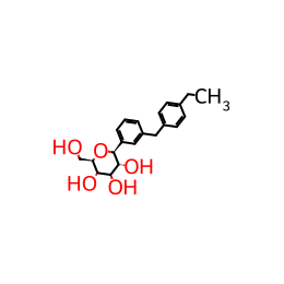 CCc1ccc(Cc2cccc([C@@H]3O[C@H](CO)[C@@H](O)[C@H](O)[C@H]3O)c2)cc1